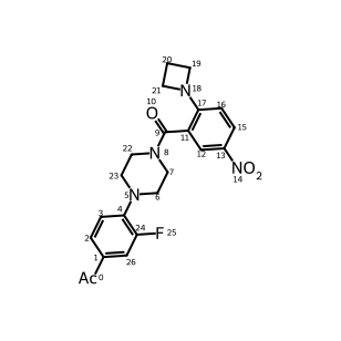 CC(=O)c1ccc(N2CCN(C(=O)c3cc([N+](=O)[O-])ccc3N3CCC3)CC2)c(F)c1